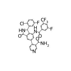 NC(=O)c1cnccc1-c1cc(NC(=O)c2cc(F)cc(C(F)(F)F)c2)c2c(c1)C(=O)NC2c1cc(F)ccc1Cl